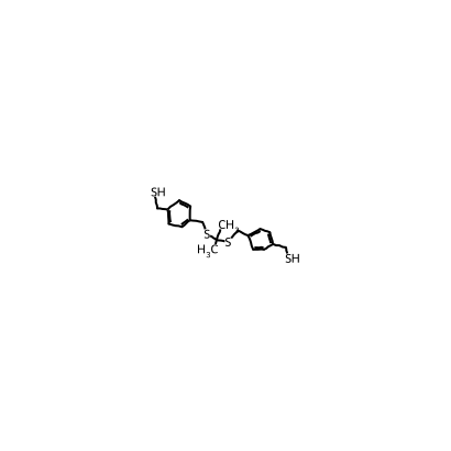 CC(C)(SCc1ccc(CS)cc1)SCc1ccc(CS)cc1